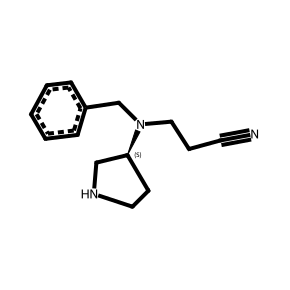 N#CCCN(Cc1ccccc1)[C@H]1CCNC1